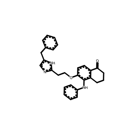 O=C1CCCc2c1ccc(OCCc1ncc(Cc3ccccc3)[nH]1)c2Nc1ccccc1